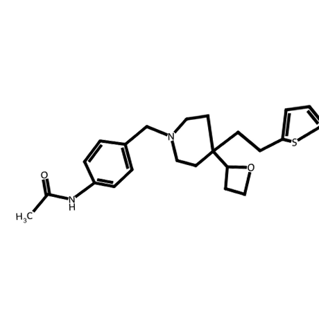 CC(=O)Nc1ccc(CN2CCC(CCc3cccs3)(C3CCO3)CC2)cc1